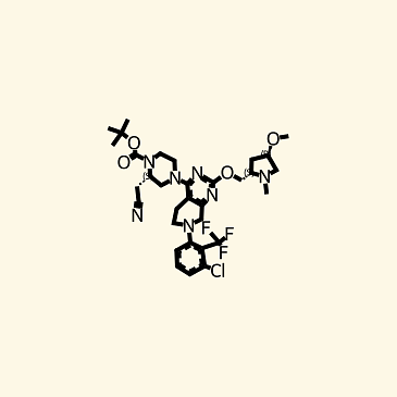 CO[C@@H]1C[C@@H](COc2nc3c(c(N4CCN(C(=O)OC(C)(C)C)[C@@H](CC#N)C4)n2)CCN(c2cccc(Cl)c2C(F)(F)F)C3)N(C)C1